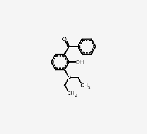 CCN(CC)c1cccc(C(=O)c2ccccc2)c1O